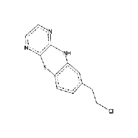 ClCCc1ccc2c(c1)Nc1nccnc1S2